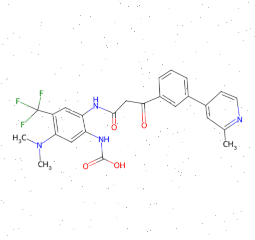 Cc1cc(-c2cccc(C(=O)CC(=O)Nc3cc(C(F)(F)F)c(N(C)C)cc3NC(=O)O)c2)ccn1